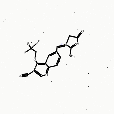 N#Cc1cnc2ccc(/C=S3/CC(=O)N=C3N)cc2c1OCC(F)(F)F